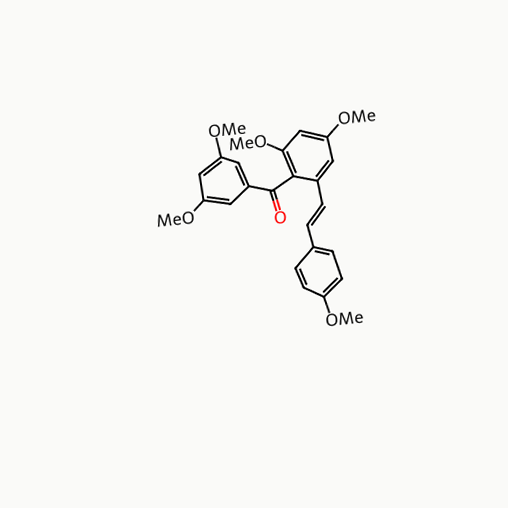 COc1ccc(/C=C/c2cc(OC)cc(OC)c2C(=O)c2cc(OC)cc(OC)c2)cc1